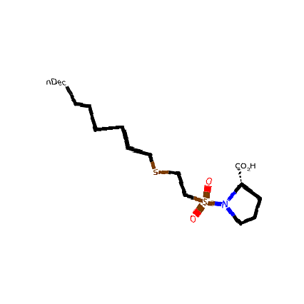 CCCCCCCCCCCCCCCCSCCS(=O)(=O)N1CCC[C@H]1C(=O)O